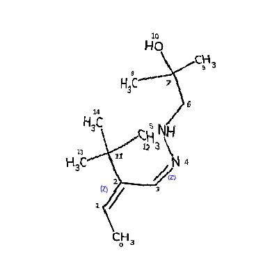 C/C=C(\C=N/NCC(C)(C)O)C(C)(C)C